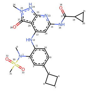 CN(c1cc(C2CCC2)ccc1Nc1cc(NC(=O)C2CC2)nc2[nH]n(C)c(=O)c12)S(C)(=O)=O